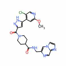 COc1cc(-c2cc(C(=O)N3CCC(C(=O)NCc4cn5ccnc5cn4)CC3)n[nH]2)c(Cl)cn1